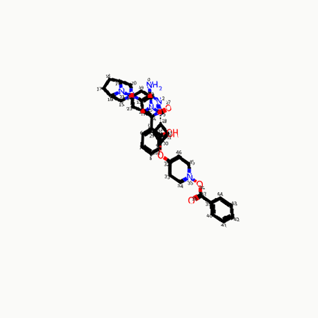 Nc1nnc(-c2ccccc2O)cc1N1CC2CCC(C1)N2C1CCN(C(=O)[C@H]2C[C@H](OC3CCN(OC(=O)c4ccccc4)CC3)C2)CC1